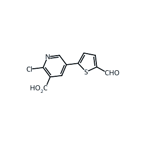 O=Cc1ccc(-c2cnc(Cl)c(C(=O)O)c2)s1